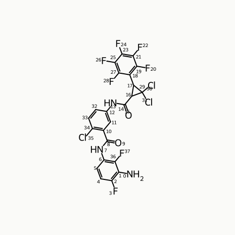 Nc1c(F)ccc(NC(=O)c2cc(NC(=O)C3C(c4c(F)c(F)c(F)c(F)c4F)C3(Cl)Cl)ccc2Cl)c1F